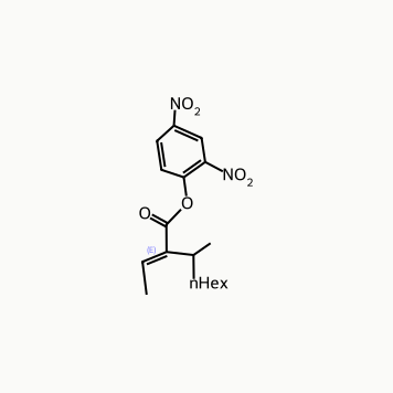 C/C=C(/C(=O)Oc1ccc([N+](=O)[O-])cc1[N+](=O)[O-])C(C)CCCCCC